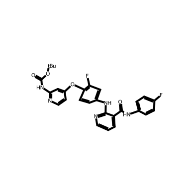 CC(C)(C)OC(=O)Nc1cc(Oc2ccc(Nc3ncccc3C(=O)Nc3ccc(F)cc3)cc2F)ccn1